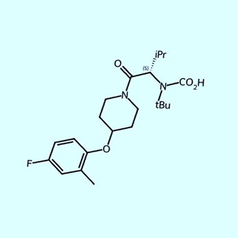 Cc1cc(F)ccc1OC1CCN(C(=O)[C@H](C(C)C)N(C(=O)O)C(C)(C)C)CC1